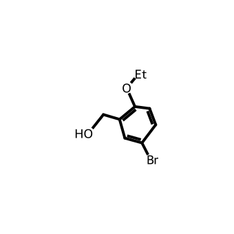 CCOc1ccc(Br)cc1CO